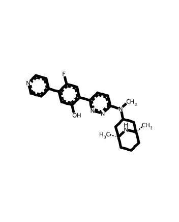 CN(c1ccc(-c2cc(F)c(-c3ccncc3)cc2O)nn1)C1C[C@]2(C)CCC[C@](C)(C1)N2